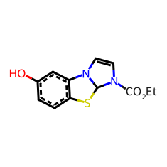 CCOC(=O)N1C=CN2c3cc(O)ccc3SC12